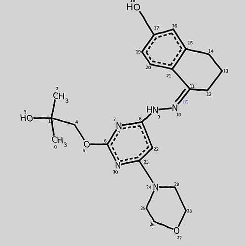 CC(C)(O)COc1nc(N/N=C2/CCCc3cc(O)ccc32)cc(N2CCOCC2)n1